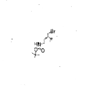 CC(C)(C)OC(=O)NCC=C(F)CBr